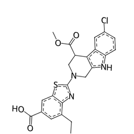 CCc1cc(C(=O)O)cc2sc(N3Cc4[nH]c5ccc(Cl)cc5c4C(C(=O)OC)C3)nc12